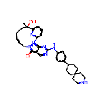 CC1(O)CCC=CCn2c(=O)c3cnc(Nc4ccc(C5CCC6(CCNCC6)CC5)cc4)nc3n2-c2cccc1n2